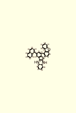 C1=CC2Nc3c(n4c5ccc6oc7ccccc7c6c5c5cc(-c6cccc7ccccc67)cc3c54)NC2C=C1